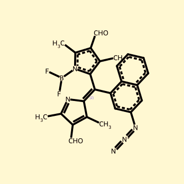 CC1=N/C(=C(/c2cc(N=[N+]=[N-])cc3ccccc23)c2c(C)c(C=O)c(C)n2B(F)F)C(C)=C1C=O